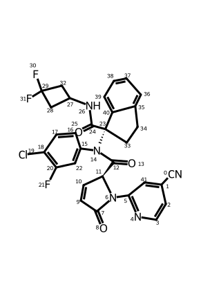 N#Cc1ccnc(N2C(=O)C=C[C@H]2C(=O)N(c2ccc(Cl)c(F)c2)[C@@]2(C(=O)NC3CC(F)(F)C3)CCc3ccccc32)c1